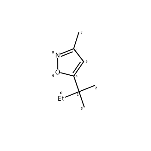 CCC(C)(C)c1cc(C)no1